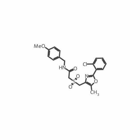 COc1ccc(CNC(=O)CS(=O)(=O)Cc2nc(-c3ccccc3Cl)oc2C)cc1